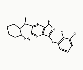 CN(c1cnc2c(Oc3ccnc(Cl)c3Cl)n[nH]c2n1)C1CCCCC1N